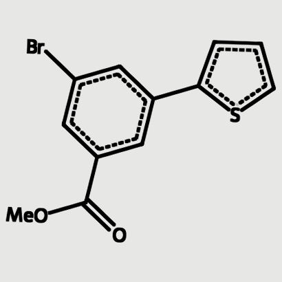 COC(=O)c1cc(Br)cc(-c2cccs2)c1